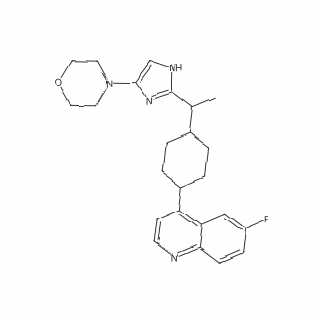 CC(c1nc(N2CCOCC2)c[nH]1)C1CCC(c2ccnc3ccc(F)cc23)CC1